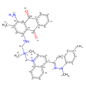 C/C(=N\N(C)c1ccc(C)cc1)c1cc[n+](C[N+](C)(C)CNc2cc(C)c(N)c3c2C(=O)c2ccccc2C3=O)c2ccccc12